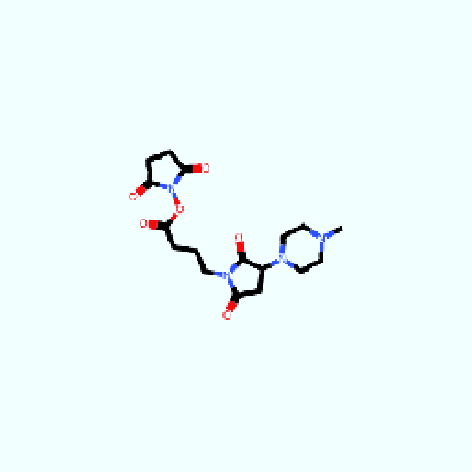 CN1CCN(C2CC(=O)N(CCCC(=O)ON3C(=O)CCC3=O)C2=O)CC1